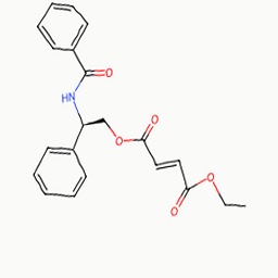 CCOC(=O)/C=C/C(=O)OC[C@H](NC(=O)c1ccccc1)c1ccccc1